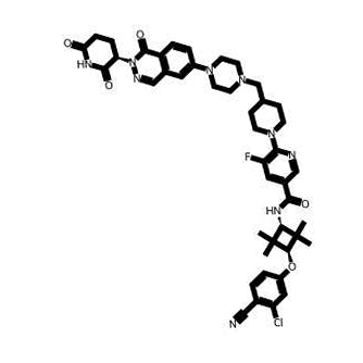 CC1(C)[C@H](NC(=O)c2cnc(N3CCC(CN4CCN(c5ccc6c(=O)n([C@@H]7CCC(=O)NC7=O)ncc6c5)CC4)CC3)c(F)c2)C(C)(C)[C@H]1Oc1ccc(C#N)c(Cl)c1